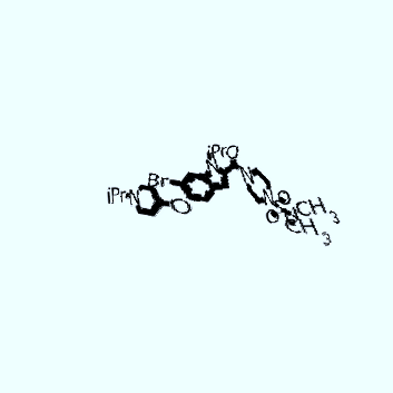 CC(C)N1CCC(Oc2cc3cc(C(=O)N4CCN(S(=O)(=O)N(C)C)CC4)n(C(C)C)c3cc2Br)CC1